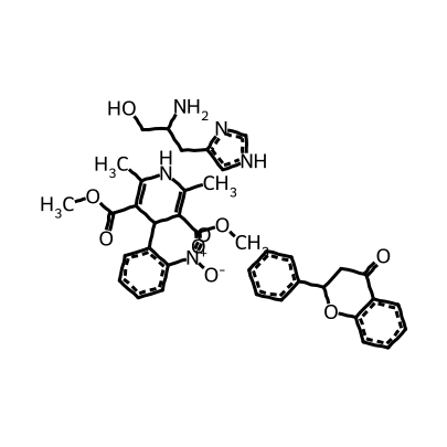 COC(=O)C1=C(C)NC(C)=C(C(=O)OC)C1c1ccccc1[N+](=O)[O-].NC(CO)Cc1c[nH]cn1.O=C1CC(c2ccccc2)Oc2ccccc21